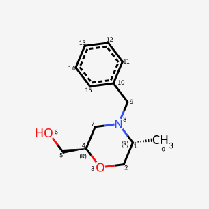 C[C@@H]1CO[C@@H](CO)CN1Cc1ccccc1